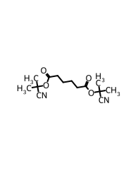 CC(C)(C#N)OC(=O)CCCCC(=O)OC(C)(C)C#N